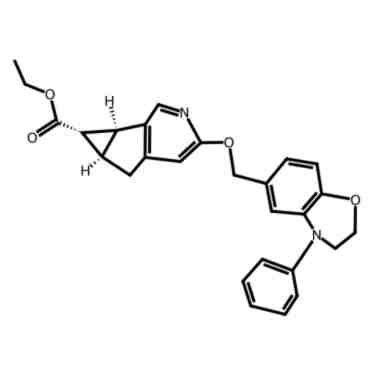 CCOC(=O)[C@H]1[C@@H]2Cc3cc(OCc4ccc5c(c4)N(c4ccccc4)CCO5)ncc3[C@@H]21